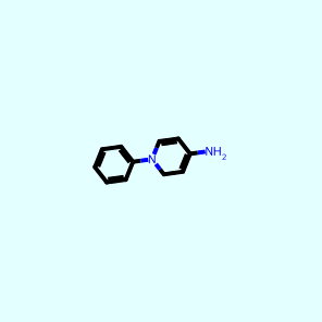 NC1=CCN(c2ccccc2)C=C1